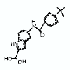 CC(C)(C)c1ccc(C(=O)Nc2ccc3[nH]c(C(O)O)cc3c2)cc1